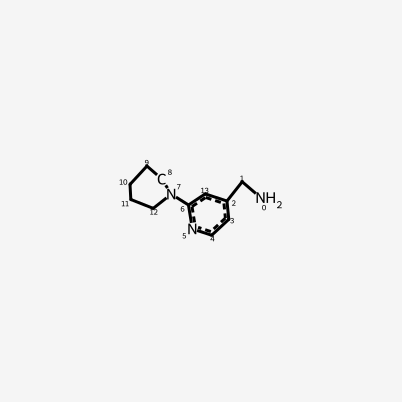 NCc1ccnc(N2CCCCC2)c1